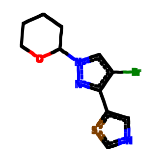 Brc1cn(C2CCCCO2)nc1-c1cncs1